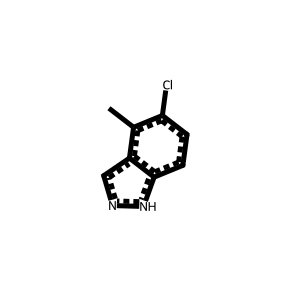 Cc1c(Cl)ccc2[nH]ncc12